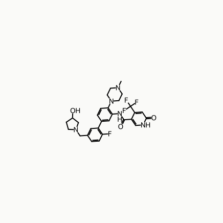 CN1CCN(c2ccc(-c3cc(CN4CCC(O)C4)ccc3F)cc2NC(=O)c2c[nH]c(=O)cc2C(F)(F)F)CC1